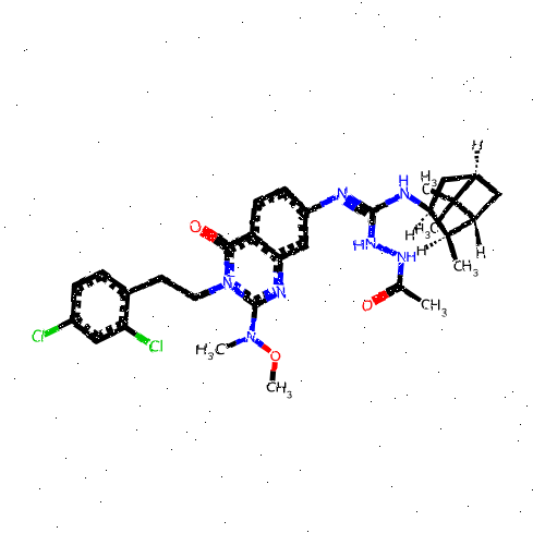 CON(C)c1nc2cc(N=C(NNC(C)=O)N[C@H]3C[C@H]4C[C@H]([C@H]3C)C4(C)C)ccc2c(=O)n1CCc1ccc(Cl)cc1Cl